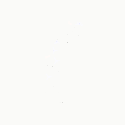 COc1ccc(CN2CCC(N(C)C(=O)n3cnc(-c4cccc(C(N)=O)c4)c3)CC2)cc1